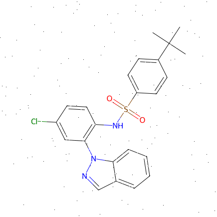 CC(C)(C)c1ccc(S(=O)(=O)Nc2ccc(Cl)cc2-n2ncc3ccccc32)cc1